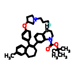 Cc1ccc2c(c1)CCCC(c1ccc3c(c1)N(C(=O)OC(C)(C)C)CCB3)=C2c1ccc(OC2CCN(CCCF)C2)cc1